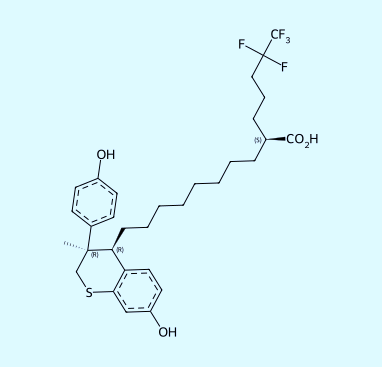 C[C@@]1(c2ccc(O)cc2)CSc2cc(O)ccc2[C@@H]1CCCCCCCC[C@@H](CCCC(F)(F)C(F)(F)F)C(=O)O